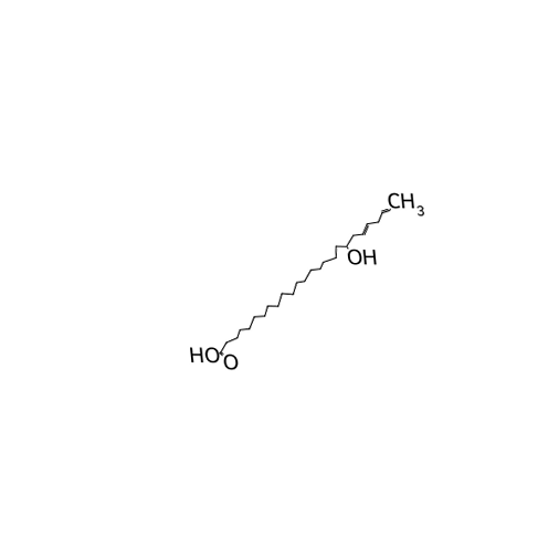 CC=CCC=CCC(O)CCCCCCCCCCCCCCCCCC(=O)O